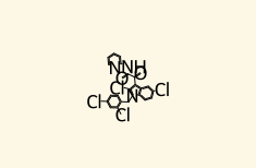 O=C(Nc1ccccn1)C(=O)c1c(Cl)n(Cc2ccc(Cl)cc2Cl)c2ccc(Cl)cc12